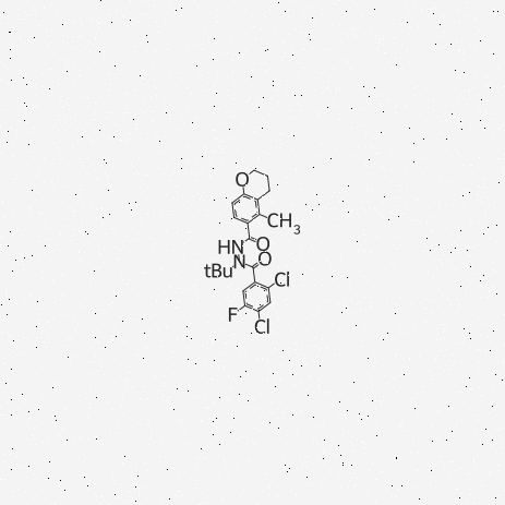 Cc1c(C(=O)NN(C(=O)c2cc(F)c(Cl)cc2Cl)C(C)(C)C)ccc2c1CCCO2